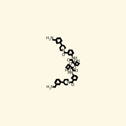 NCc1cccc(C2CCN(C(=O)c3cccc(NC(=O)C4(O)OC5(CCC5)C(O)(C(=O)Nc5cccc(C(=O)N6CCC(c7cccc(CN)c7)CC6)c5)OC45CCC5)c3)CC2)c1